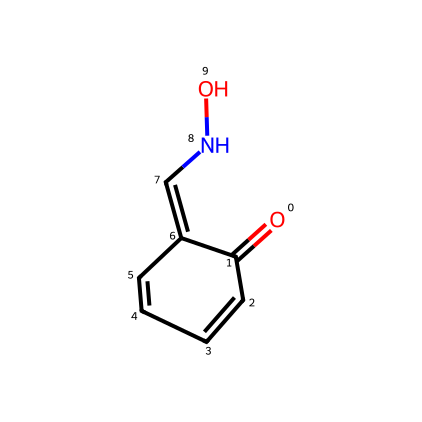 O=C1C=CC=C/C1=C/NO